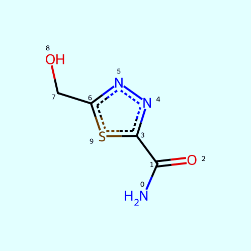 NC(=O)c1nnc(CO)s1